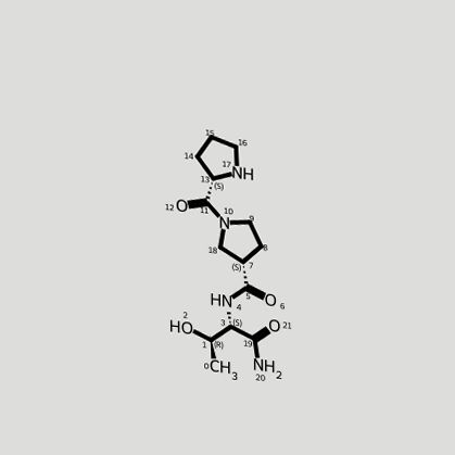 C[C@@H](O)[C@H](NC(=O)[C@H]1CCN(C(=O)[C@@H]2CCCN2)C1)C(N)=O